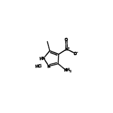 Cc1[nH]nc(N)c1[N+](=O)[O-].Cl